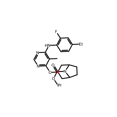 CCc1ccc(Nc2ncnc(OC3CC4CCC(C3)N4C(=O)OC(C)C)c2C)c(F)c1